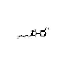 Oc1cccc(-c2nc(OCCCCl)ns2)c1